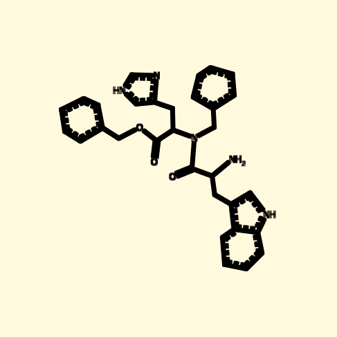 NC(Cc1c[nH]c2ccccc12)C(=O)N(Cc1ccccc1)C(Cc1c[nH]cn1)C(=O)OCc1ccccc1